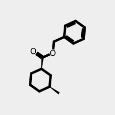 C[C@H]1CCC[C@@H](C(=O)OCc2ccccc2)C1